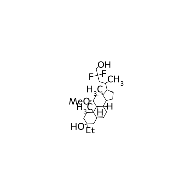 CC[C@]1(O)CC[C@@]2(C)C(=CC[C@H]3C4CC[C@H]([C@H](C)CC(F)(F)CO)[C@@]4(C)C[C@H](OC)[C@@H]32)C1